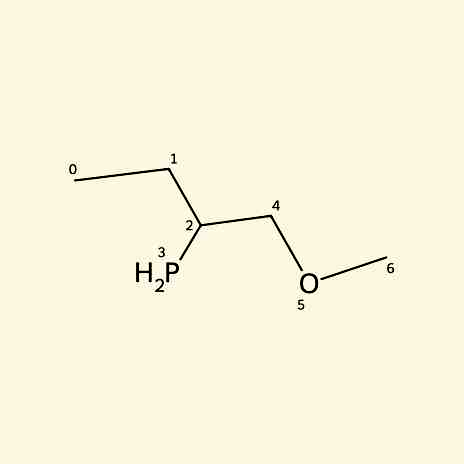 CCC(P)COC